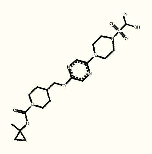 CC(C)C(O)S(=O)(=O)N1CCN(c2cnc(OCC3CCN(C(=O)OC4(C)CC4)CC3)cn2)CC1